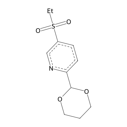 CCS(=O)(=O)c1ccc(C2OCCCO2)nc1